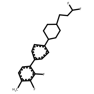 Cc1ccc(-c2ccc(C3CCC(CCC(F)F)CC3)cc2)c(F)c1F